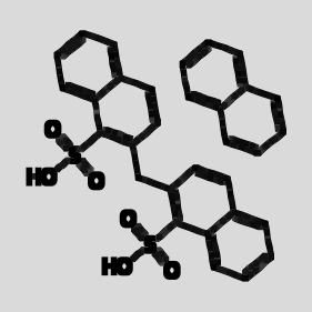 O=S(=O)(O)c1c(Cc2ccc3ccccc3c2S(=O)(=O)O)ccc2ccccc12.c1ccc2ccccc2c1